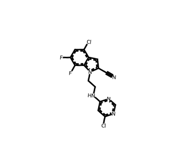 N#Cc1cc2c(Cl)cc(F)c(F)c2n1CCNc1cc(Cl)ncn1